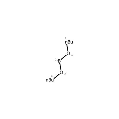 CCCCO[B]OCCCC